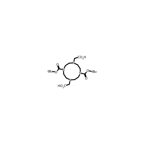 CC(C)(C)OC(=O)N1CCN(CC(=O)O)CCN(C(=O)OC(C)(C)C)CCN(CC(=O)O)CC1